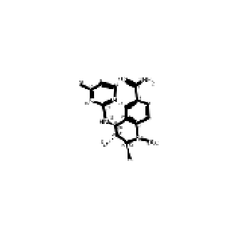 CC(=O)N1c2ccc(C(N)=O)cc2[C@H](Nc2nccc(C)n2)[C@@H](C)[C@@H]1C